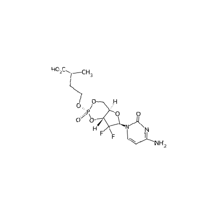 CC(CCO[P@]1(=O)OC[C@H]2O[C@@H](n3ccc(N)nc3=O)C(F)(F)[C@@H]2O1)C(=O)O